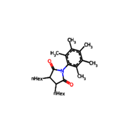 CCCCCCC1C(=O)N(c2c(C)c(C)c(C)c(C)c2C)C(=O)C1CCCCCC